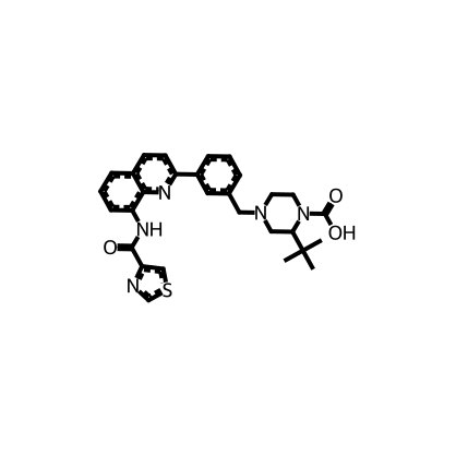 CC(C)(C)C1CN(Cc2cccc(-c3ccc4cccc(NC(=O)c5cscn5)c4n3)c2)CCN1C(=O)O